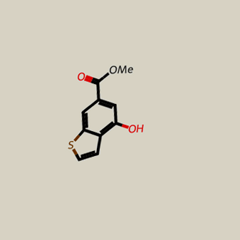 COC(=O)c1cc(O)c2ccsc2c1